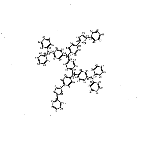 c1ccc(-c2ccc(-c3ccc(N(c4ccc(N(c5ccccc5)c5ccccc5)cc4)c4ccc(N(c5ccc(-c6ccc(-c7ccccc7)s6)cc5)c5ccc(N(c6ccccc6)c6ccccc6)cc5)cc4)cc3)s2)cc1